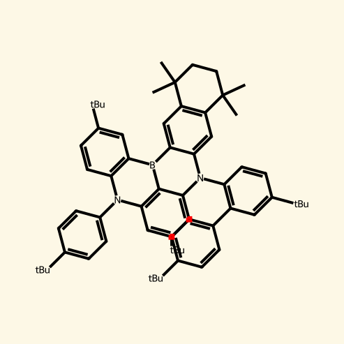 CC(C)(C)c1ccc(-c2cc(C(C)(C)C)ccc2N2c3cc4c(cc3B3c5cc(C(C)(C)C)ccc5N(c5ccc(C(C)(C)C)cc5)c5cc(C(C)(C)C)cc2c53)C(C)(C)CCC4(C)C)cc1